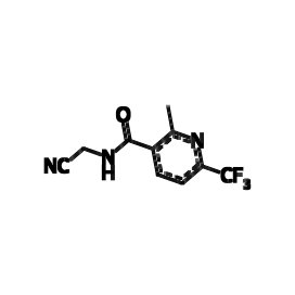 Cc1nc(C(F)(F)F)ccc1C(=O)NCC#N